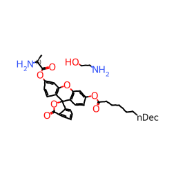 CCCCCCCCCCCCCCCC(=O)Oc1ccc2c(c1)Oc1cc(OC(=O)[C@H](C)N)ccc1C21OC(=O)c2ccccc21.NCCO